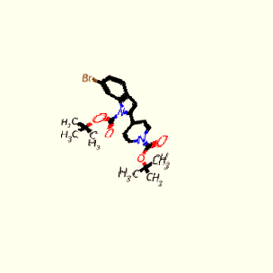 CC(C)(C)OC(=O)N1CCC(c2cc3ccc(Br)cc3n2C(=O)OC(C)(C)C)CC1